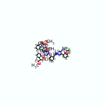 CO/C=C(/C(=O)OC)c1ccccc1Oc1cc(Oc2ccccc2C#N)ncn1.COCC(=O)N(c1c(C)cccc1C)C(C)C(=O)OC.N#Cc1c[nH]cc1-c1cccc2c1OC(F)(F)O2